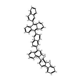 c1ccc2cc(-c3c4ccccc4c(-c4ccc5cc(-c6cc7oc8c(ccc9c%10ccccc%10oc98)c7c7ccccc67)ccc5c4)c4ccccc34)ccc2c1